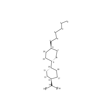 CCCCCC[C@H]1CC[C@H]([C@H]2CC[C@H](C(F)F)CC2)CC1